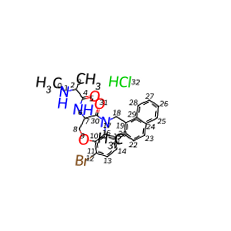 CNC(C)C(=O)NC1COc2c(Br)cccc2N(Cc2c(C)ccc3ccccc23)C1=O.Cl